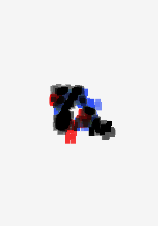 CC1(C)CN(CCNc2nccc(C3C=C(c4cccc(O)c4)N=C4OC=CN43)n2)S(=O)(=O)N1